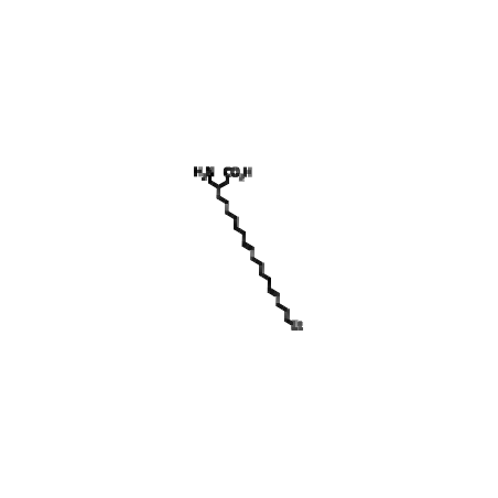 CCC=CCC=CCC=CCC=CCC=CCCCC(CN)CC(=O)O